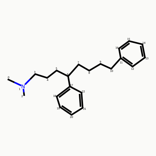 CN(C)CCCC(CCCCc1ccccc1)c1ccccc1